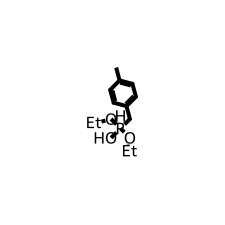 CCO[PH](O)(Cc1ccc(C)cc1)OCC